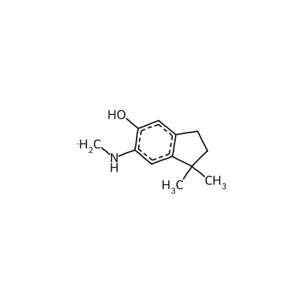 [CH2]Nc1cc2c(cc1O)CCC2(C)C